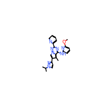 COc1cccc(Nc2nc(-c3ccccn3)nn3cc(-c4ccn(C(C)C)n4)c(C)c23)n1